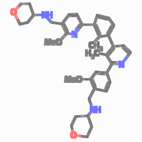 COc1cc(-c2nccc(-c3cccc(-c4ccc(CNC5CCOCC5)c(OC)n4)c3C)c2C)ccc1CNC1CCOCC1